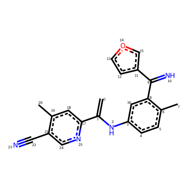 C=C(Nc1ccc(C)c(C(=N)c2ccoc2)c1)c1cc(C)c(C#N)cn1